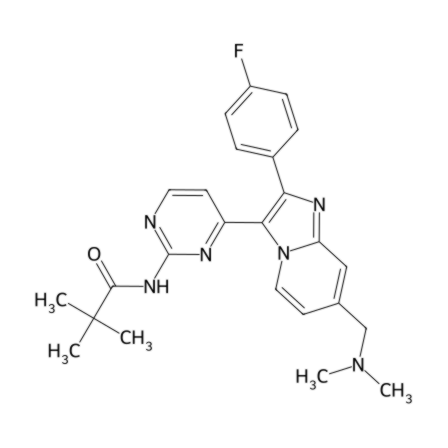 CN(C)Cc1ccn2c(-c3ccnc(NC(=O)C(C)(C)C)n3)c(-c3ccc(F)cc3)nc2c1